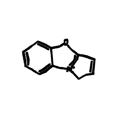 C1=Cc2oc3ccccc3[n+]2C1